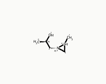 C[C@@H](O)C[N@@]1C[SH]1C